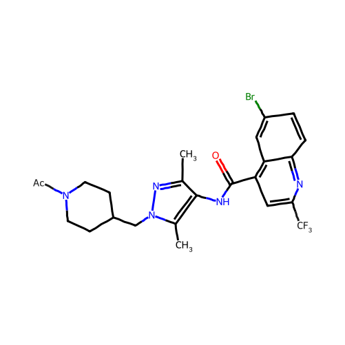 CC(=O)N1CCC(Cn2nc(C)c(NC(=O)c3cc(C(F)(F)F)nc4ccc(Br)cc34)c2C)CC1